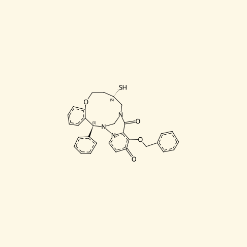 O=C1c2c(OCc3ccccc3)c(=O)ccn2N2CN1C[C@@H](S)CCOc1ccccc1[C@@H]2c1ccccc1